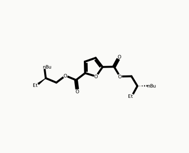 CCCC[C@H](CC)COC(=O)c1ccc(C(=O)OC[C@@H](CC)CCCC)o1